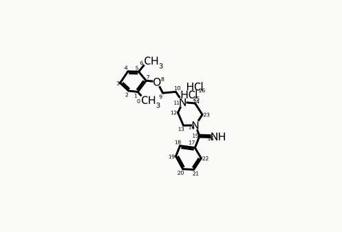 Cc1cccc(C)c1OCCN1CCN(C(=N)c2ccccc2)CC1.Cl.Cl